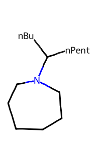 CCCCCC(CCCC)N1CCCCCC1